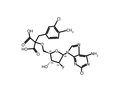 Cc1ccc(CC(OC[C@H]2O[C@@H](n3cnc4c(N)nc(Cl)nc43)[C@@H](F)[C@@H]2O)(C(=O)O)C(=O)O)cc1Cl